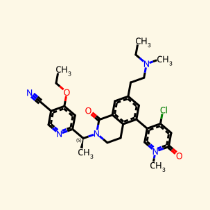 CCOc1cc([C@H](C)N2CCc3c(cc(CCN(C)CC)cc3-c3cn(C)c(=O)cc3Cl)C2=O)ncc1C#N